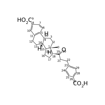 C[C@]12CC[C@@H]3c4ccc(C(=O)O)cc4CC[C@H]3[C@@H]1CC[C@@H]2C(=O)CCc1ccc(C(=O)O)cc1